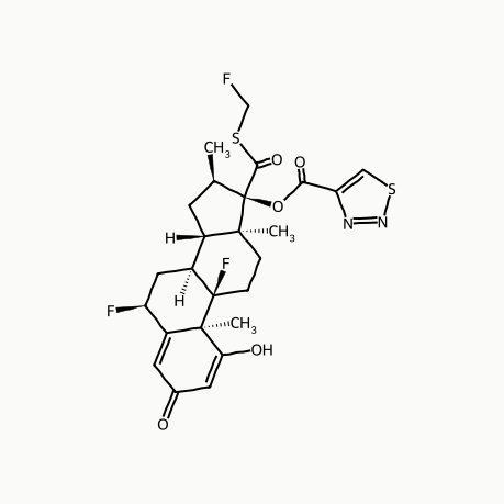 C[C@@H]1C[C@H]2[C@@H]3C[C@H](F)C4=CC(=O)C=C(O)[C@]4(C)[C@@]3(F)CC[C@]2(C)[C@@]1(OC(=O)c1csnn1)C(=O)SCF